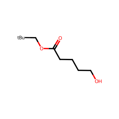 CC(C)(C)COC(=O)CCCCO